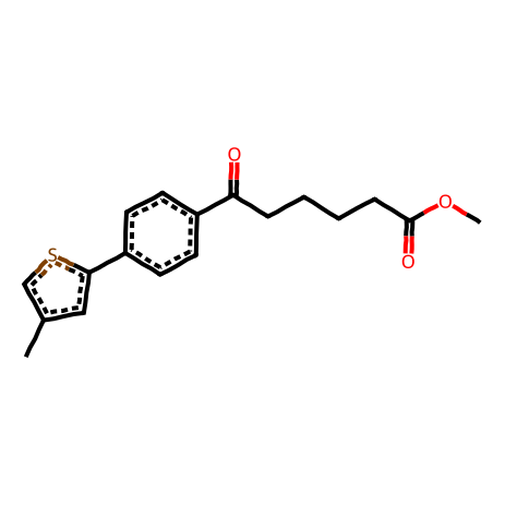 COC(=O)CCCCC(=O)c1ccc(-c2cc(C)cs2)cc1